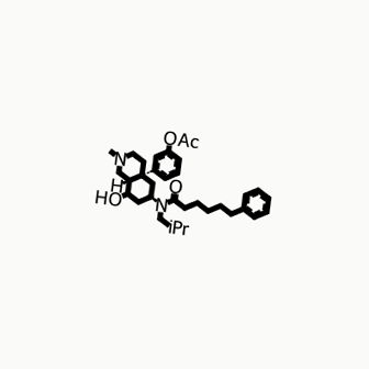 CC(=O)Oc1cccc([C@@]23CCN(C)C[C@H]2C(O)C[C@H](N(CC(C)C)C(=O)CCCCCc2ccccc2)C3)c1